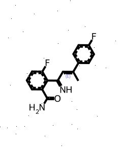 C/C(=C\C(=N)c1c(F)cccc1C(N)=O)c1ccc(F)cc1